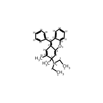 CCN(CC)C1(C)C=C2Oc3ccccc3C(c3ccccc3)=C2C=C1C